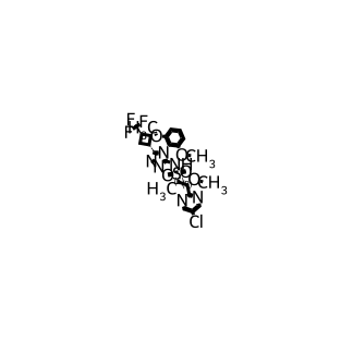 COc1cccc(OC)c1-n1c(NS(=O)(=O)[C@@H](C)[C@H](OC)c2ncc(Cl)cn2)nnc1[C@H]1C[C@H](C(F)(F)F)C1